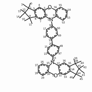 CC1(C)c2cc3c(cc2C(C)(C)C1(C)C)N(c1ccc(-c2ccc(N4c5ccccc5Oc5cc6c(cc54)C(C)(C)C(C)(C)C6(C)C)cc2)cc1)c1ccccc1O3